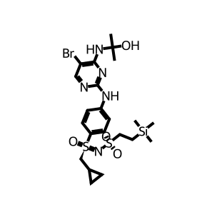 CC(C)(O)Nc1nc(Nc2ccc([S@](=O)(CC3CC3)=NS(=O)(=O)CC[Si](C)(C)C)cc2)ncc1Br